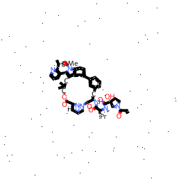 C=CC(=O)N1CC[C@](O)(C(=O)N(C)C(C(=O)N[C@H]2Cc3cccc(c3)-c3ccc4c(c3)c(c(-c3cccnc3[C@H](C)OC)n4CC)CC(C)(C)COC(=O)[C@@H]3CCCN(N3)C2=O)C(C)C)C1